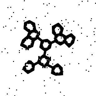 c1ccc(-c2nc(-c3ccccc3)nc(-c3cc(-c4cc5ccccc5c5ccccc45)cc(-c4nc5ccccc5c5ccncc45)c3)n2)cc1